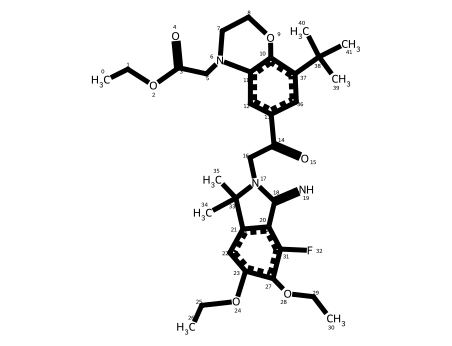 CCOC(=O)CN1CCOc2c1cc(C(=O)CN1C(=N)c3c(cc(OCC)c(OCC)c3F)C1(C)C)cc2C(C)(C)C